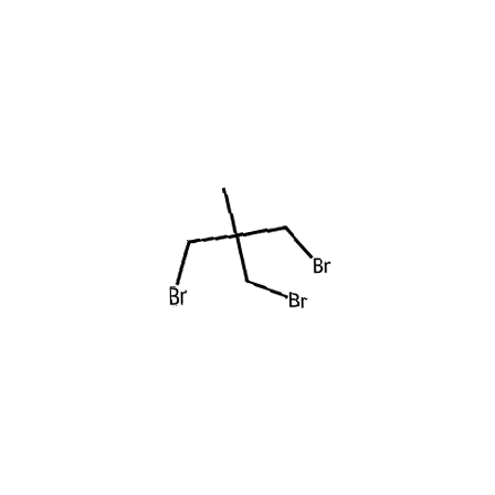 CC(CBr)(CBr)CBr